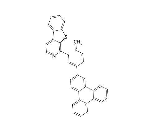 C=C/C=C\C(=C/Cc1nccc2c1sc1ccccc12)c1ccc2c3ccccc3c3ccccc3c2c1